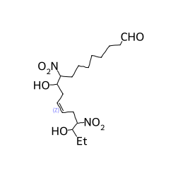 CCC(O)C(C/C=C\CC(O)C(CCCCCCCC=O)[N+](=O)[O-])[N+](=O)[O-]